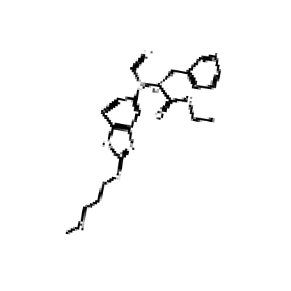 CCOC(=O)[C@H](Cc1ccccc1)N(C=O)c1ccc2oc(SCCCNC)nc2c1